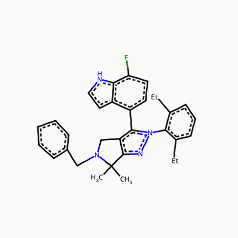 CCc1cccc(CC)c1-n1nc2c(c1-c1ccc(F)c3[nH]ccc13)CN(Cc1ccccc1)C2(C)C